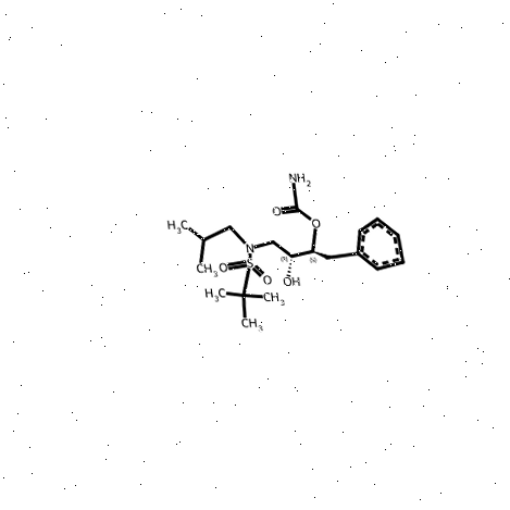 CC(C)CN(C[C@@H](O)[C@H](Cc1ccccc1)OC(N)=O)S(=O)(=O)C(C)(C)C